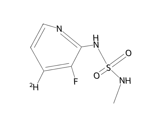 [2H]c1ccnc(NS(=O)(=O)NC)c1F